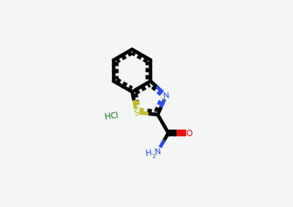 Cl.NC(=O)c1nc2ccccc2s1